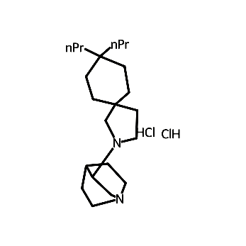 CCCC1(CCC)CCC2(CCN(C3CN4CCC3CC4)C2)CC1.Cl.Cl